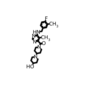 Cc1cc(CNc2ncnc(C(=O)N3CCC(N4CCC(O)CC4)CC3)c2C)ccc1F